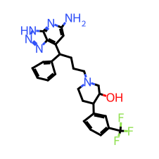 Nc1cc(C(CCCN2CCC(c3cccc(C(F)(F)F)c3)C(O)C2)c2ccccc2)c2nn[nH]c2n1